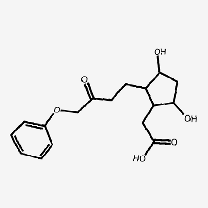 O=C(O)CC1C(O)CC(O)C1CCC(=O)COc1ccccc1